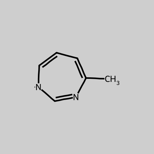 CC1=CC=C[N]C=N1